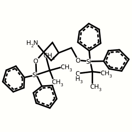 CC(C)(C)[Si](OCC1CC(N)(O[Si](c2ccccc2)(c2ccccc2)C(C)(C)C)C1)(c1ccccc1)c1ccccc1